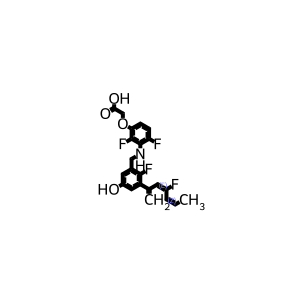 C=C(/C=C(F)\C=C/C)c1cc(O)cc(CNc2c(F)ccc(OCC(=O)O)c2F)c1F